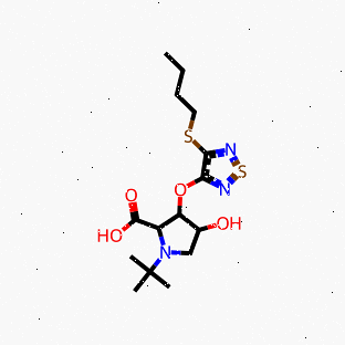 CCCCSc1nsnc1OC1C(O)CN(C(C)(C)C)C1C(=O)O